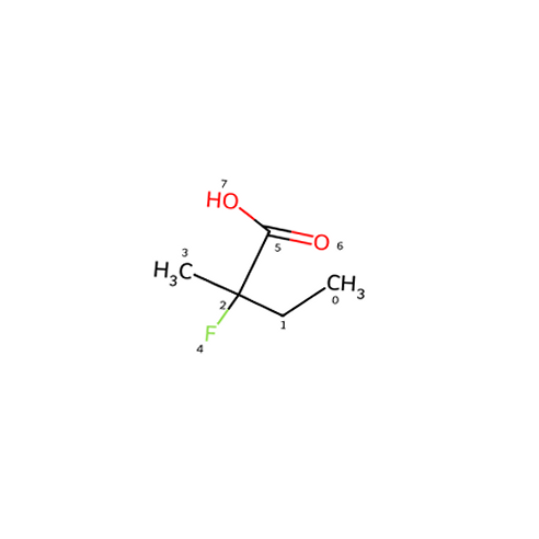 CCC(C)(F)C(=O)O